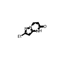 CCc1cc2[nH]c(=O)ccn2n1